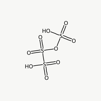 O=S(=O)(O)OS(=O)(=O)S(=O)(=O)O